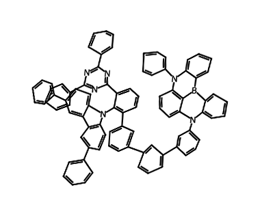 c1ccc(-c2ccc3c(c2)c2cc(-c4ccccc4)ccc2n3-c2c(-c3cccc(-c4cccc(-c5cccc(N6c7ccccc7B7c8ccccc8N(c8ccccc8)c8cccc6c87)c5)c4)c3)cccc2-c2nc(-c3ccccc3)nc(-c3ccccc3)n2)cc1